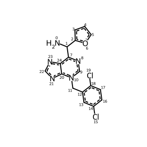 NC(c1ccco1)c1ncn(Cc2cc(Cl)ccc2Cl)c2ncnc1-2